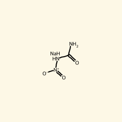 NC(=O)N[N+](=O)[O-].[NaH]